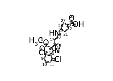 COC(=O)c1c(-c2c(Cl)cccc2Cl)noc1C=CNc1ccc(C(=O)O)cc1